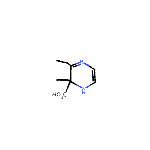 CC1=NC=CNC1(C)C(=O)O